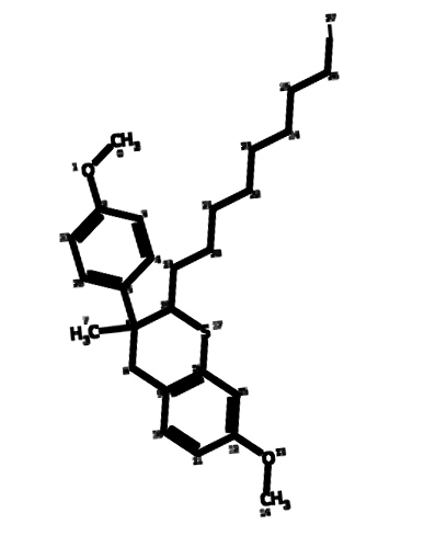 COc1ccc(C2(C)Cc3ccc(OC)cc3SC2CCCCCCCCI)cc1